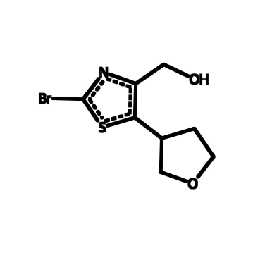 OCc1nc(Br)sc1C1CCOC1